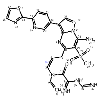 C=CN(/C=C\Cc1nc2c(-c3ccc(-c4nccs4)nc3)cnn2c(N)c1S(C)(=O)=O)C(=O)C(=N)NC=N